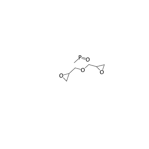 C(OCC1CO1)C1CO1.CP=O